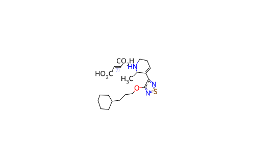 CC1NCCC=C1c1nsnc1OCCCC1CCCCC1.O=C(O)/C=C/C(=O)O